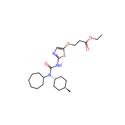 CCOC(=O)CCSc1cnc(NC(=O)N(C2CCCCCC2)[C@H]2CC[C@H](C)CC2)s1